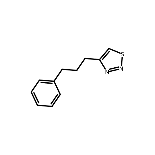 c1ccc(CCCc2csnn2)cc1